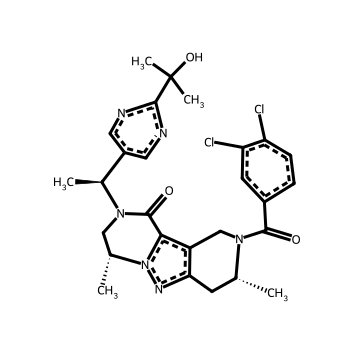 C[C@@H]1Cc2nn3c(c2CN1C(=O)c1ccc(Cl)c(Cl)c1)C(=O)N([C@@H](C)c1cnc(C(C)(C)O)nc1)C[C@H]3C